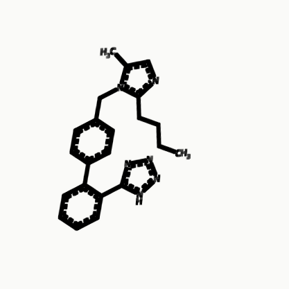 CCCCc1ncc(C)n1Cc1ccc(-c2ccccc2-c2nnn[nH]2)cc1